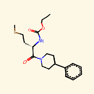 CCOC(=O)N[C@@H](CCSC)C(=O)N1CCC(c2ccccc2)CC1